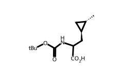 C[C@H]1C[C@@H]1CC(NC(=O)OC(C)(C)C)C(=O)O